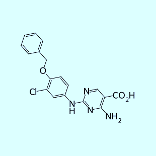 Nc1nc(Nc2ccc(OCc3ccccc3)c(Cl)c2)ncc1C(=O)O